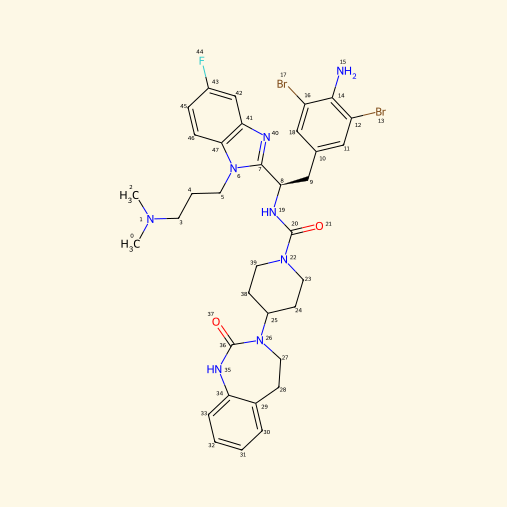 CN(C)CCCn1c([C@@H](Cc2cc(Br)c(N)c(Br)c2)NC(=O)N2CCC(N3CCc4ccccc4NC3=O)CC2)nc2cc(F)ccc21